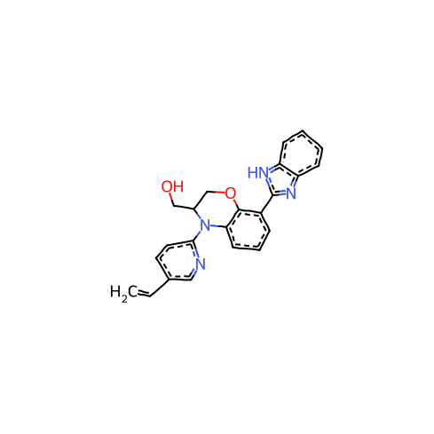 C=Cc1ccc(N2c3cccc(-c4nc5ccccc5[nH]4)c3OCC2CO)nc1